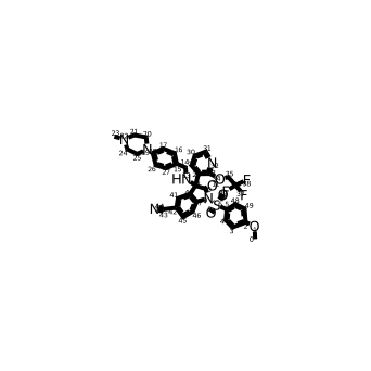 COc1ccc(S(=O)(=O)N2C(=O)C(NCc3ccc(N4CCN(C)CC4)cc3)(c3cccnc3OCC(F)(F)F)c3cc(C#N)ccc32)cc1